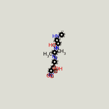 Cc1cc(N=Nc2ccc3cc(Nc4ccccc4)ccc3c2O)c(C)cc1N=Nc1ccc(C=Cc2ccc([N+](=O)[O-])cc2S(=O)(=O)O)cc1